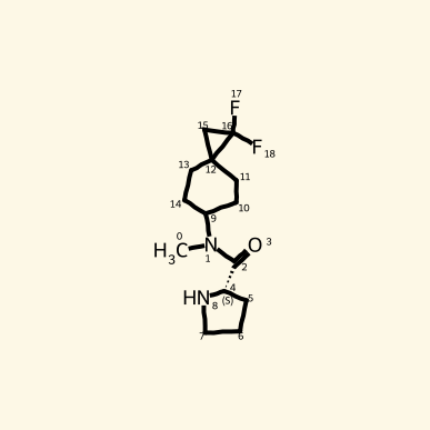 CN(C(=O)[C@@H]1CCCN1)C1CCC2(CC1)CC2(F)F